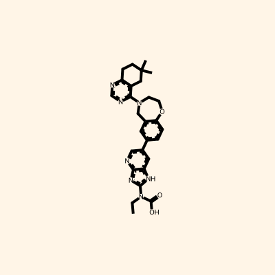 CCN(C(=O)O)c1nc2ncc(-c3ccc4c(c3)CN(c3ncnc5c3CC(C)(C)CC5)CCO4)cc2[nH]1